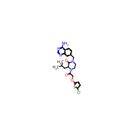 CC(C)CC1C(=O)N(Cc2ccc3c(N)ncnc3c2)CCN1C(=O)COc1ccc(Cl)s1